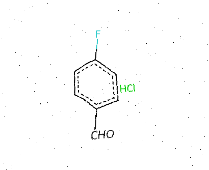 Cl.O=Cc1ccc(F)cc1